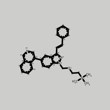 C[Si](C)(C)CCOCn1nc(/C=C/c2ccccc2)c2cc(-c3cncc4ccccc34)ccc21